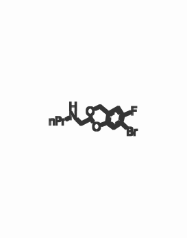 CCCNCC1OCc2cc(F)c(Br)cc2O1